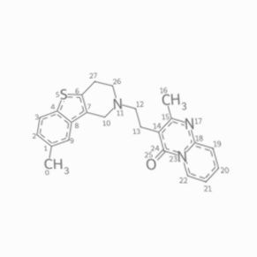 Cc1ccc2sc3c(c2c1)CN(CCc1c(C)nc2ccccn2c1=O)CC3